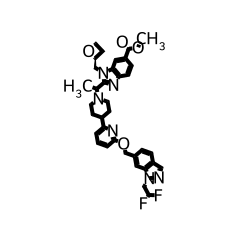 COC(=O)c1ccc2nc(C(C)N3CCC(c4cccc(OCc5ccc6cnn(CC(F)F)c6c5)n4)CC3)n(C[C@@H]3CCO3)c2c1